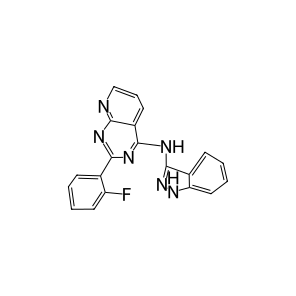 Fc1ccccc1-c1nc(Nc2n[nH]c3ccccc23)c2cccnc2n1